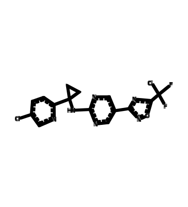 FC(F)(Cl)c1nc(-c2cnc(NC3(c4ccc(Cl)cn4)CC3)nc2)no1